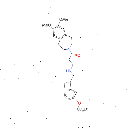 CCOC(=O)Oc1ccc2c(c1)C(CNCCC(=O)N1CCc3cc(OC)c(OC)cc3CC1)C2